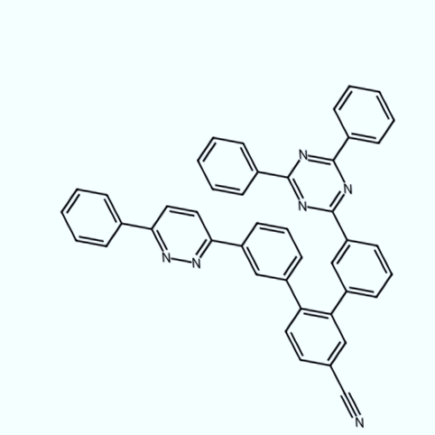 N#Cc1ccc(-c2cccc(-c3ccc(-c4ccccc4)nn3)c2)c(-c2cccc(-c3nc(-c4ccccc4)nc(-c4ccccc4)n3)c2)c1